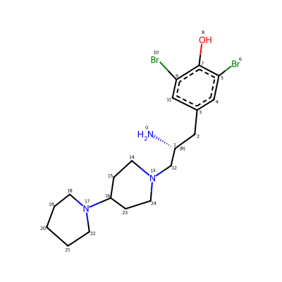 N[C@H](Cc1cc(Br)c(O)c(Br)c1)CN1CCC(N2CCCCC2)CC1